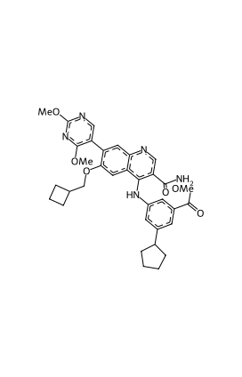 COC(=O)c1cc(Nc2c(C(N)=O)cnc3cc(-c4cnc(OC)nc4OC)c(OCC4CCC4)cc23)cc(C2CCCC2)c1